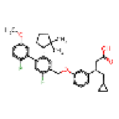 COc1ccc(F)c(-c2cc(F)c(COc3cccc([C@@H](CC(=O)O)CC4CC4)c3)cc2[C@@H]2CCCC2(C)C)c1